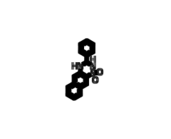 O=S1(=O)NC(c2ccccc2)Nc2cc3ccccc3cc21